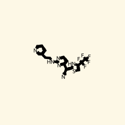 N#C/C(=C1/NC(C(F)(F)C(F)(F)F)=CS1)c1ccnc(NCCc2cccnc2)n1